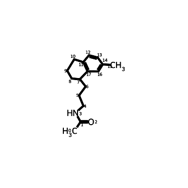 CC(=O)NCCCC1CCCc2ccc(C)cc21